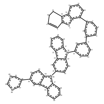 C1=Cc2sc3c(-c4cccc(-c5cccc(-n6c7ccccc7c7cc(-n8c9ccccc9c9cc(-c%10cncnc%10)ccc98)ccc76)c5)c4)cccc3c2CC1